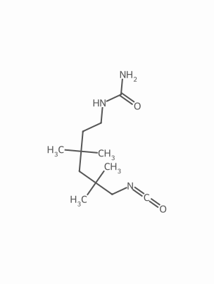 CC(C)(CCNC(N)=O)CC(C)(C)CN=C=O